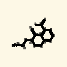 C=C(C)c1cccc2ccn(COCCC)c(=O)c12